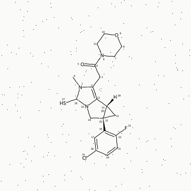 CN1C(CC(=O)N2CCOCC2)=C2[C@@H]3C[C@]3(c3cc(Cl)ccc3F)CN2C1S